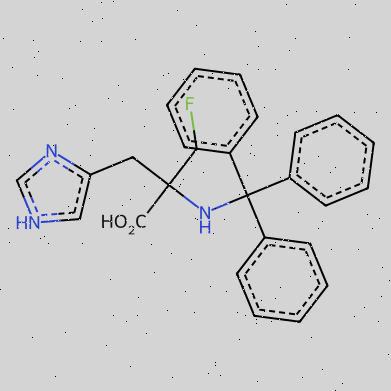 O=C(O)C(CF)(Cc1c[nH]cn1)NC(c1ccccc1)(c1ccccc1)c1ccccc1